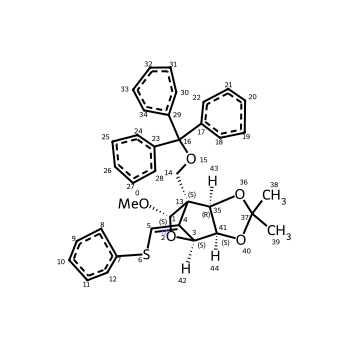 CO[C@H]1O[C@H]2/C(=C\Sc3ccccc3)[C@]1(COC(c1ccccc1)(c1ccccc1)c1ccccc1)[C@H]1OC(C)(C)O[C@@H]21